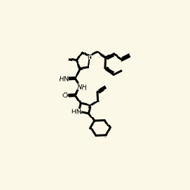 C=C/C=C(\C=C/C)CN1CC(C)C(C(=N)NC(=O)C2NC(C3CCCCC3)C2CC=C)C1